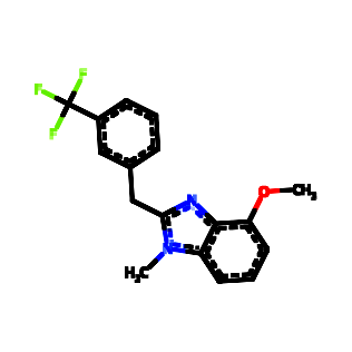 COc1cccc2c1nc(Cc1cccc(C(F)(F)F)c1)n2C